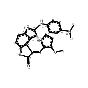 COc1cc[nH]c1/C=C1/C(=O)Nc2ccc3[nH]c(Nc4ccc(N(C)C)cc4)nc3c21